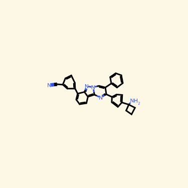 N#Cc1cccc(-c2cccc3c2nn2cc(-c4ccccc4)c(-c4ccc(C5(N)CCC5)cc4)nc32)c1